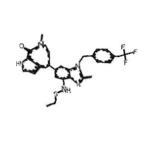 CCSNc1cc(-c2cn(C)c(=O)c3[nH]ccc23)cc2c1nc(C)n2Cc1ccc(C(F)(F)F)cc1